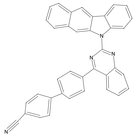 N#Cc1ccc(-c2ccc(-c3nc(-n4c5ccccc5c5cc6ccccc6cc54)nc4ccccc34)cc2)cc1